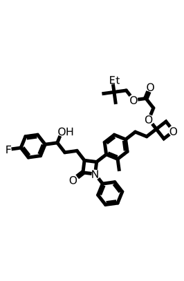 CCC(C)(C)COC(=O)COC1(CCc2ccc(C3C(CCC(O)c4ccc(F)cc4)C(=O)N3c3ccccc3)c(C)c2)COC1